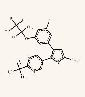 CCC(C)(Oc1cc(F)cc(-c2cc(C(=O)O)nn2-c2cnc(C(C)(P)P)nc2)c1)C(F)(F)P